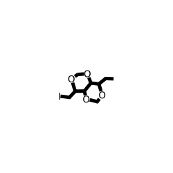 CCC1OCOC2C(CI)OCOC12